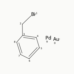 [Au].[Bi][CH2]c1ccccc1.[Pd]